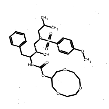 COc1ccc(S(=O)(=O)N(CC(C)C)CC(O)C(Cc2ccccc2)NC(=O)OC2COCCOCCOC2)cc1